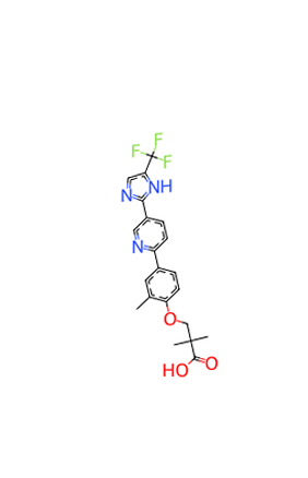 Cc1cc(-c2ccc(-c3ncc(C(F)(F)F)[nH]3)cn2)ccc1OCC(C)(C)C(=O)O